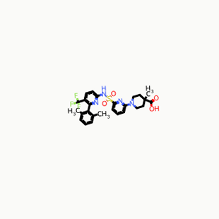 Cc1cccc(C)c1-c1nc(NS(=O)(=O)c2cccc(N3CCC(C)(C(=O)O)CC3)n2)ccc1C(F)(F)F